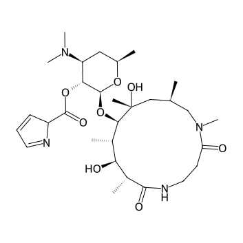 C[C@H]1CN(C)C(=O)CCNC(=O)[C@H](C)[C@@H](O)[C@H](C)[C@@H](O[C@@H]2O[C@H](C)C[C@H](N(C)C)[C@H]2OC(=O)C2C=CC=N2)[C@](C)(O)C1